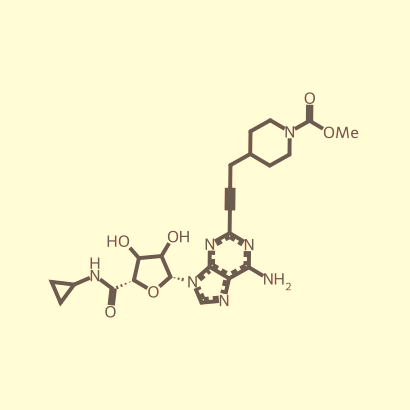 COC(=O)N1CCC(CC#Cc2nc(N)c3ncn([C@@H]4O[C@H](C(=O)NC5CC5)C(O)C4O)c3n2)CC1